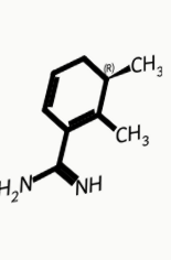 CC1=C(C(=N)N)C=CC[C@H]1C